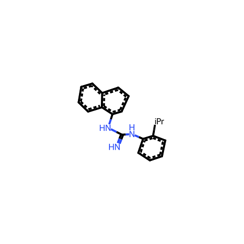 CC(C)c1ccccc1NC(=N)Nc1cccc2ccccc12